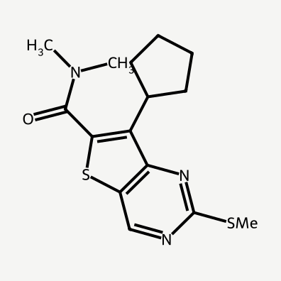 CSc1ncc2sc(C(=O)N(C)C)c(C3CCCC3)c2n1